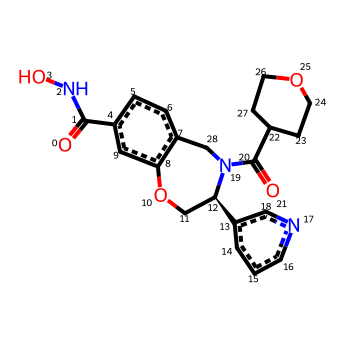 O=C(NO)c1ccc2c(c1)OC[C@H](c1cccnc1)N(C(=O)C1CCOCC1)C2